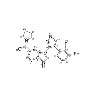 O=C(c1cnc2[nH]cc(-c3oncc3-c3cccc(F)c3F)c2c1)N1CCCC1